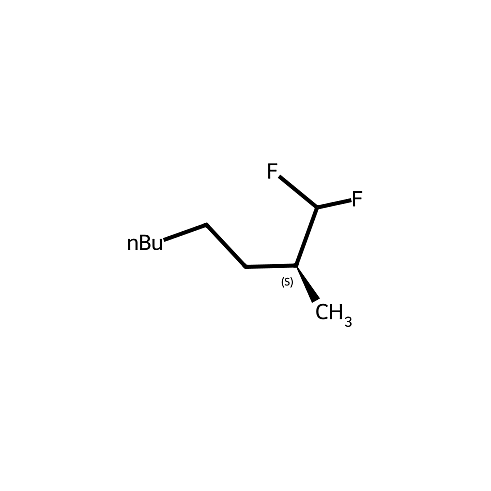 CCCCCC[C@H](C)C(F)F